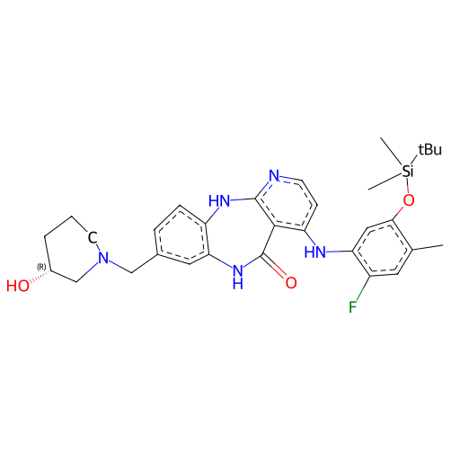 Cc1cc(F)c(Nc2ccnc3c2C(=O)Nc2cc(CN4CCC[C@@H](O)C4)ccc2N3)cc1O[Si](C)(C)C(C)(C)C